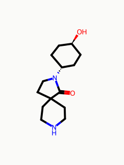 O=C1N([C@H]2CC[C@H](O)CC2)CCC12CCNCC2